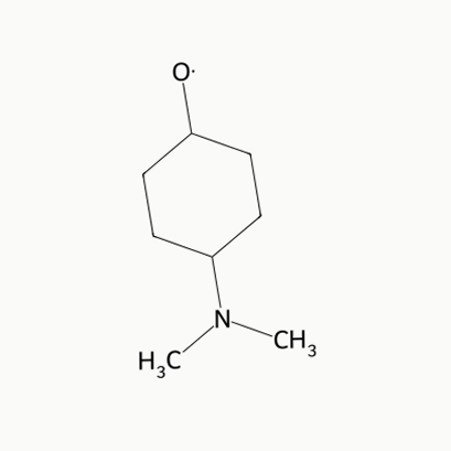 CN(C)C1CCC([O])CC1